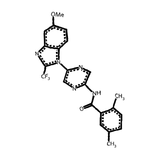 COc1ccc2c(c1)nc(C(F)(F)F)n2-c1cnc(NC(=O)c2cc(C)ccc2C)cn1